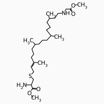 COC(=O)CNCCC(C)CCCC(C)CCCC(C)CCC/C(C)=C/CSCC(N)C(=O)OC